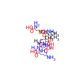 CC(C)CC(N)C(=O)O.CCC(C)C(N)C(=O)O.CSCCC(N)C(=O)O.NC(=O)CC(N)C(=O)O.NCCCCC(N)C(=O)O